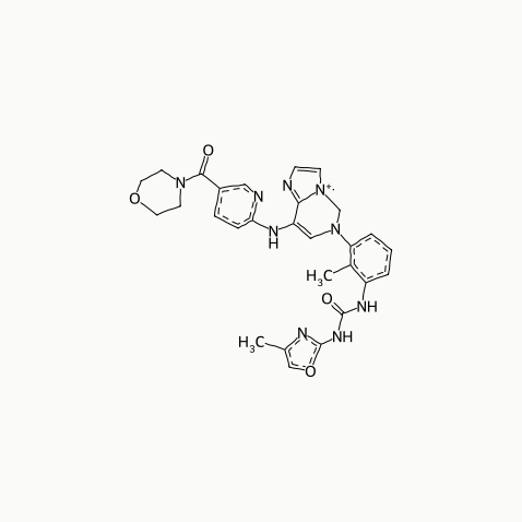 Cc1coc(NC(=O)Nc2cccc(N3C=C(Nc4ccc(C(=O)N5CCOCC5)cn4)C4=NC=C[N+]4C3)c2C)n1